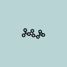 c1ccc(N(c2ccccc2)c2ccc3c4ccc(-c5cccc(-n6c7ccccc7c7ccccc76)c5)cc4c4ccccc4c3c2)cc1